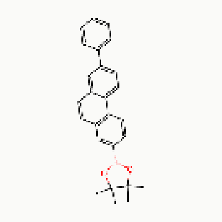 CC1(C)OB(c2ccc3c(ccc4cc(-c5ccccc5)ccc43)c2)OC1(C)C